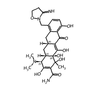 CN(C)[C@@H]1C(O)=C(C(N)=O)C(C)(O)[C@@]2(O)C(O)=C3C(=O)c4c(O)ccc(CN5OCCC5=N)c4C[C@H]3C[C@@H]12